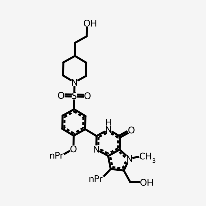 CCCOc1ccc(S(=O)(=O)N2CCC(CCO)CC2)cc1-c1nc2c(CCC)c(CO)n(C)c2c(=O)[nH]1